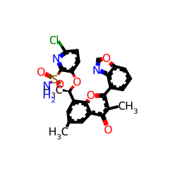 Cc1cc([C@@H](C)Oc2ccc(Cl)nc2S(N)(=O)=O)c2oc(-c3cccc4ocnc34)c(C)c(=O)c2c1